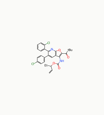 C=CC(CC)OC(=O)Nc1c(C(=O)C(C)(C)C)oc2nc(-c3ccccc3Cl)c(-c3ccc(Cl)cc3)cc12